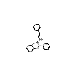 C(=Cc1ccccc1)NN1Cc2ccccc2N=C1c1ccccc1